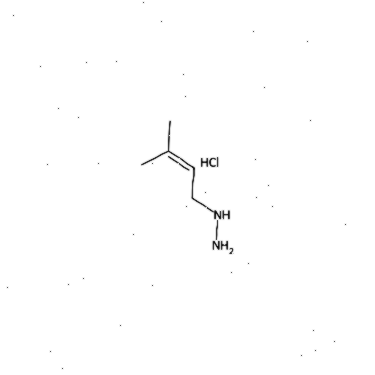 CC(C)=CCNN.Cl